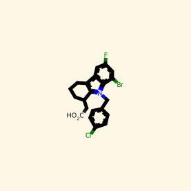 O=C(O)CC1CCCc2c1n(Cc1ccc(Cl)cc1)c1c(Br)cc(F)cc21